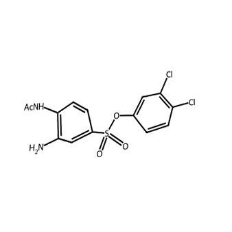 CC(=O)Nc1ccc(S(=O)(=O)Oc2ccc(Cl)c(Cl)c2)cc1N